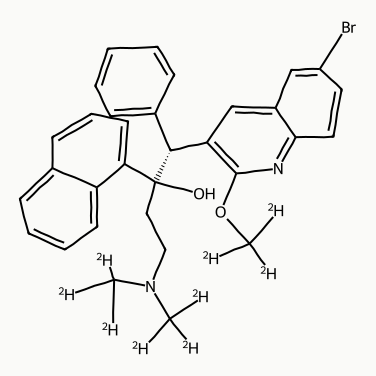 [2H]C([2H])([2H])Oc1nc2ccc(Br)cc2cc1[C@@H](c1ccccc1)C(O)(CCN(C([2H])([2H])[2H])C([2H])([2H])[2H])c1cccc2ccccc12